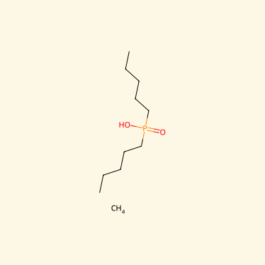 C.CCCCCP(=O)(O)CCCCC